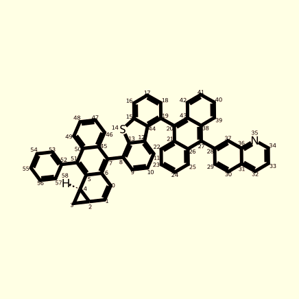 C1=CC2C[C@H]2c2c1c(-c1cccc3c1sc1cccc(-c4c5ccccc5c(-c5ccc6cccnc6c5)c5ccccc45)c13)c1ccccc1c2-c1ccccc1